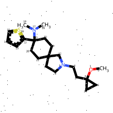 COC1(CCN2CCC3(CCC(c4cccs4)(N(C)C)CC3)C2)CC1